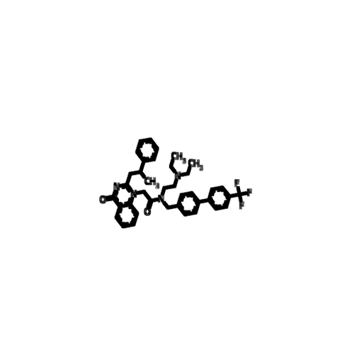 CCN(CC)CCN(Cc1ccc(-c2ccc(C(F)(F)F)cc2)cc1)C(=O)Cn1c(CC(C)c2ccccc2)nc(=O)c2ccccc21